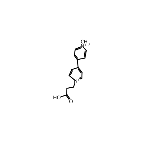 C[n+]1ccc(-c2cc[n+](CCC(=O)O)cc2)cc1